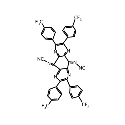 [C-]#[N+]N=C1c2nc(-c3ccc(C(F)(F)F)cc3)c(-c3ccc(C(F)(F)F)cc3)nc2C(=NC#N)c2nc(-c3ccc(C(F)(F)F)cc3)c(-c3ccc(C(F)(F)F)cc3)nc21